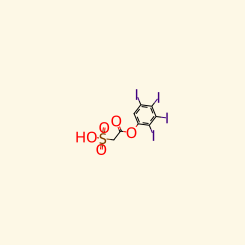 O=C(CS(=O)(=O)O)Oc1cc(I)c(I)c(I)c1I